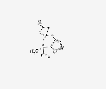 CC1(C)CC2(CC(=O)C2)Cc2cnoc21